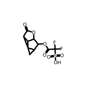 O=C1OC2C(OC(=O)C(F)(F)S(=O)(=O)O)C3CC34C1C24